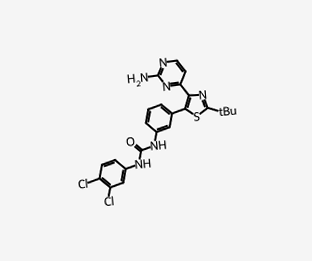 CC(C)(C)c1nc(-c2ccnc(N)n2)c(-c2cccc(NC(=O)Nc3ccc(Cl)c(Cl)c3)c2)s1